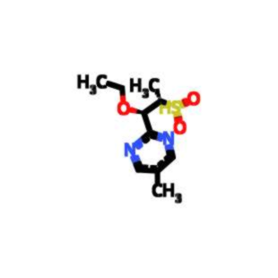 CCO[C@H](c1ncc(C)cn1)[C@H](C)[SH](=O)=O